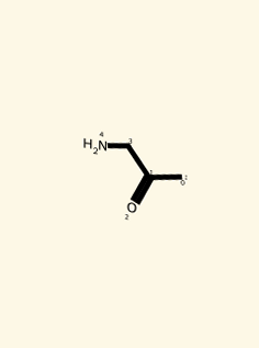 [CH]C(=O)CN